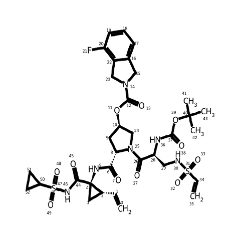 C=C[C@@H]1C[C@]1(NC(=O)[C@@H]1C[C@@H](OC(=O)N2Cc3cccc(F)c3C2)CN1C(=O)[C@H](CNS(=O)(=O)C=C)NC(=O)OC(C)(C)C)C(=O)NS(=O)(=O)C1CC1